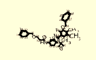 Cc1cc(-c2nc3cc(NC(=O)CCOCc4ccccc4)ccc3n2C2(C)COC2)c(F)c(OCc2ccccc2)c1C